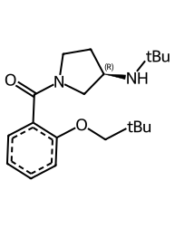 CC(C)(C)COc1ccccc1C(=O)N1CC[C@@H](NC(C)(C)C)C1